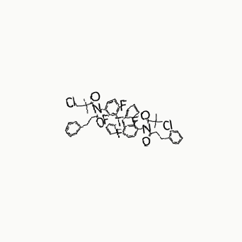 CC(C)(CCl)C(=O)N(C(=O)CCc1ccccc1)c1ccc(F)[c]([Ti]([C]2=CC=CC2)([C]2=CC=CC2)[c]2c(F)ccc(N(C(=O)CCc3ccccc3)C(=O)C(C)(C)CCl)c2F)c1F